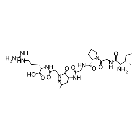 CC[C@H](C)[C@H](N)C(=O)NCC(=O)N1CCC[C@H]1C(=O)NCC(=O)N[C@@H](CC(C)C)C(=O)NCC(=O)N[C@@H](CCCNC(=N)N)C(=O)O